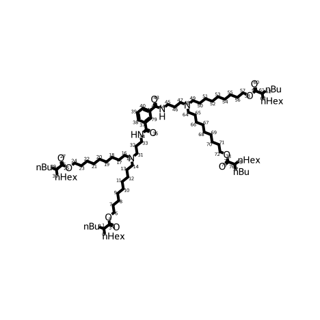 CCCCCCC(CCCC)C(=O)OCCCCCCCCCN(CCCCCCCCCOC(=O)C(CCCC)CCCCCC)CCCNC(=O)c1cccc(C(=O)NCCCN(CCCCCCCCCOC(=O)C(CCCC)CCCCCC)CCCCCCCCCOC(=O)C(CCCC)CCCCCC)c1